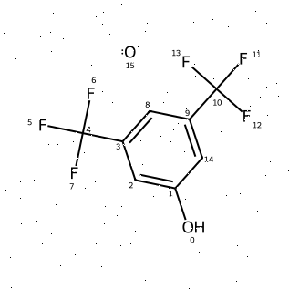 Oc1cc(C(F)(F)F)cc(C(F)(F)F)c1.[O]